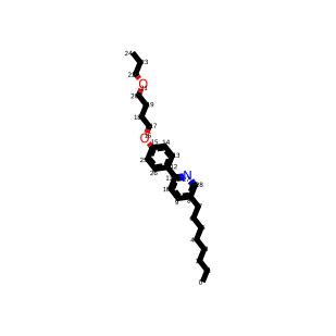 CCCCCCCCc1ccc(-c2ccc(OCCCCOCCC)cc2)nc1